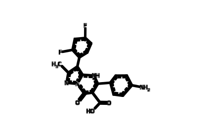 Cc1nn2c(=O)c(C(=O)O)c(-c3ccc(N)cc3)[nH]c2c1-c1ccc(F)cc1F